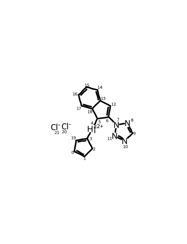 C1=CC[C]([Hf+2][CH]2C(n3ncnn3)=Cc3ccccc32)=C1.[Cl-].[Cl-]